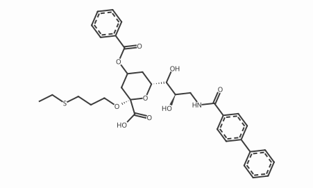 CCSCCCO[C@]1(C(=O)O)CC(OC(=O)c2ccccc2)C[C@H](C(O)[C@H](O)CNC(=O)c2ccc(-c3ccccc3)cc2)O1